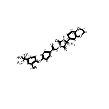 CCCc1cc(C(O)(C(F)(F)F)C(F)(F)F)ccc1Oc1ccc(C(=O)CN2C(=O)NC(C)(c3ccc4c(c3)OCCO4)C2=O)cc1